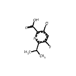 CC(C)c1nc(C(=O)O)c(Cl)cc1F